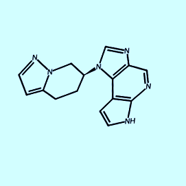 c1cc2n(n1)C[C@@H](n1cnc3cnc4[nH]ccc4c31)CC2